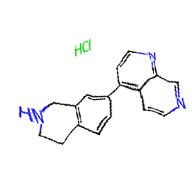 Cl.c1cc2c(-c3ccc4c(c3)CNCC4)ccnc2cn1